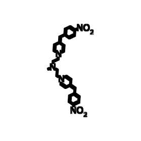 CN(CCN1C=CC(=Cc2ccc([N+](=O)[O-])cc2)C=C1)CCN1C=CC(=Cc2ccc([N+](=O)[O-])cc2)C=C1